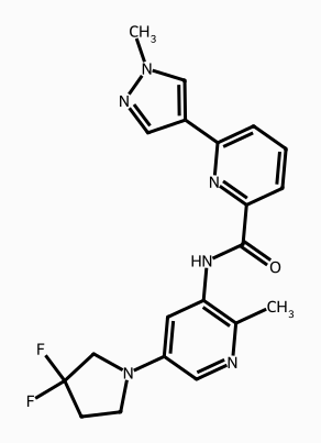 Cc1ncc(N2CCC(F)(F)C2)cc1NC(=O)c1cccc(-c2cnn(C)c2)n1